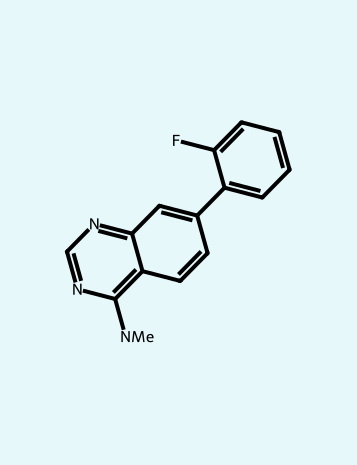 CNc1ncnc2cc(-c3ccccc3F)ccc12